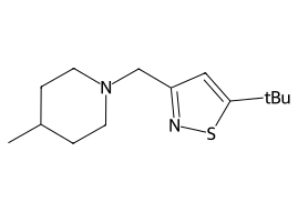 CC1CCN(Cc2cc(C(C)(C)C)sn2)CC1